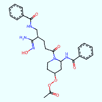 CC(=O)OOC1CCN(C(=O)CCC(CNC(=O)c2ccccc2)C(N)=NO)C(NC(=O)c2ccccc2)C1